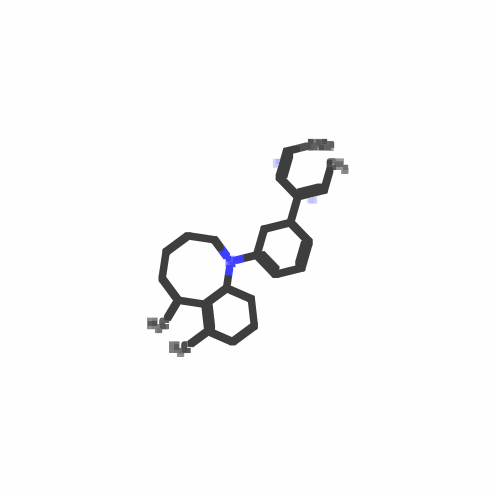 C/C=C(\C=C/NC)C1C=CC=C(N2CCCCC(C)C3=C(C)CCCC32)C1